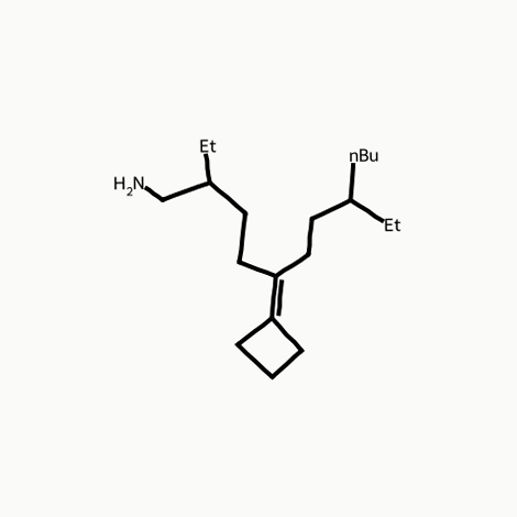 CCCCC(CC)CCC(CCC(CC)CN)=C1CCC1